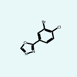 Clc1ccc(-c2nnco2)cc1Br